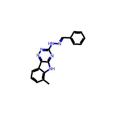 Cc1cccc2c1[nH]c1nc(N/N=C/c3ccccc3)nnc12